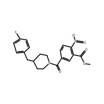 COC(=O)c1cc(C(=O)N2CCC(Cc3ccc(F)cc3)CC2)ccc1[N+](=O)[O-]